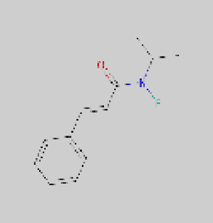 CC(C)N(F)C(=O)C=Cc1ccccc1